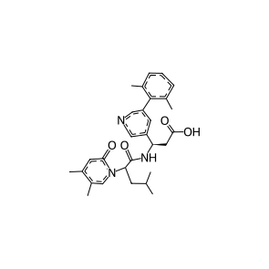 Cc1cc(=O)n(C(CC(C)C)C(=O)N[C@H](CC(=O)O)c2cncc(-c3c(C)cccc3C)c2)cc1C